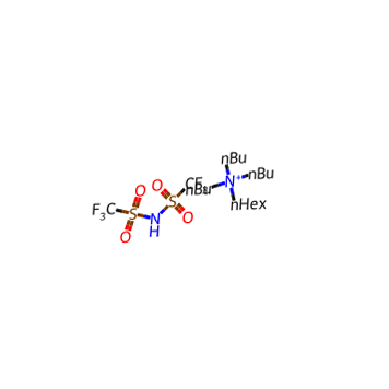 CCCCCC[N+](CCCC)(CCCC)CCCC.O=S(=O)(NS(=O)(=O)C(F)(F)F)C(F)(F)F